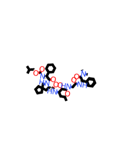 CCCC(NC(=O)[C@@H]1CC2(CCCC2)CN1C(=O)[C@@H](NC(=O)OCC(C)C)C1CCCCC1)C(=O)C(=O)NCC(=O)N[C@H](C(=O)N(C)C)c1ccccc1